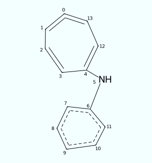 C1=CC=CC(Nc2ccccc2)=CC=1